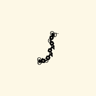 CN(Cc1ccc(Oc2ccc([N+](=O)[O-])cc2)cc1)Cc1cccc(CN(C)Cc2ccc(Oc3ccc([N+](=O)[O-])cc3)cc2)c1